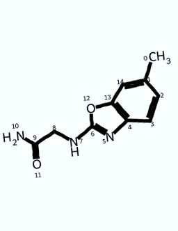 Cc1ccc2nc(NCC(N)=O)oc2c1